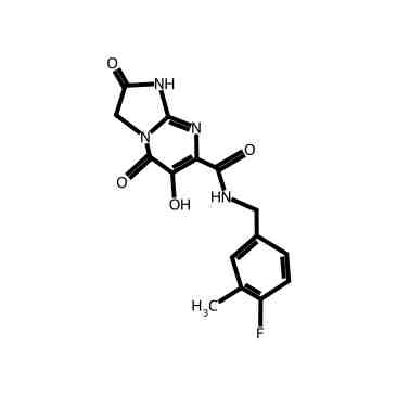 Cc1cc(CNC(=O)c2nc3n(c(=O)c2O)CC(=O)N3)ccc1F